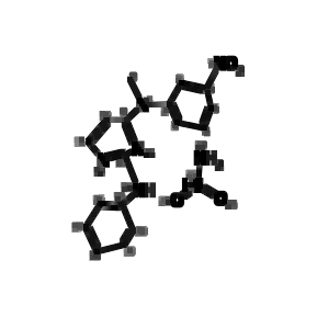 CN(c1cccc([N+](=O)[O-])c1)c1ccnc(Nc2ccccc2)n1.N[SH](=O)=O